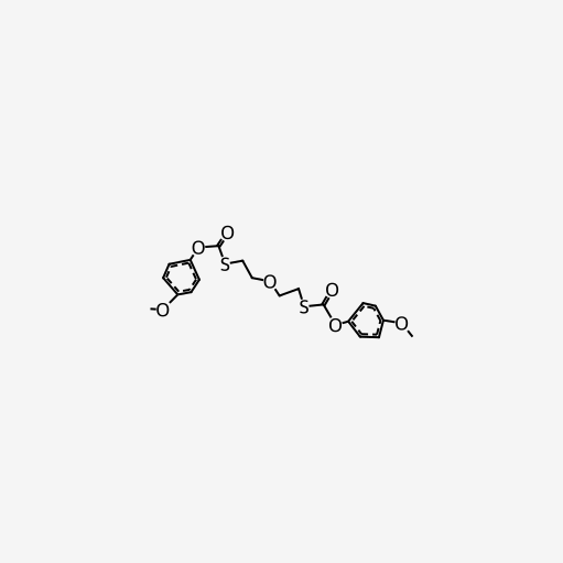 COc1ccc(OC(=O)SCCOCCSC(=O)Oc2ccc(OC)cc2)cc1